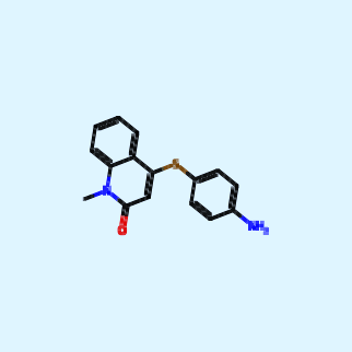 Cn1c(=O)cc(Sc2ccc(N)cc2)c2ccccc21